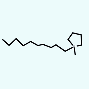 CCCCCCCCCC[N+]1(C)CCCC1